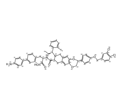 CC[C@@H](c1ccccc1I)N1Cc2cc3c(cc2C[C@H]1C(=O)NC(Cc1ccc(-c2ccc(N)nc2)cc1)C(=O)O)OC[C@H](c1ccc(OCc2ccc(Cl)c(Cl)c2)cc1)O3